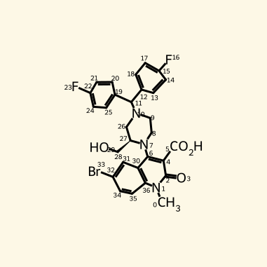 Cn1c(=O)c(C(=O)O)c(N2CCN(C(c3ccc(F)cc3)c3ccc(F)cc3)C[C@@H]2CO)c2cc(Br)ccc21